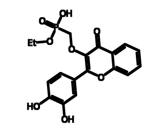 CCOP(=O)(O)COc1c(-c2ccc(O)c(O)c2)oc2ccccc2c1=O